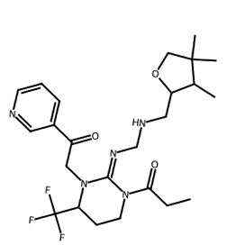 CCC(=O)N1CCC(C(F)(F)F)N(CC(=O)c2cccnc2)/C1=N/CNCC1OCC(C)(C)C1C